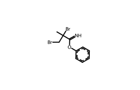 CC(Br)(CBr)C(=N)Oc1ccccc1